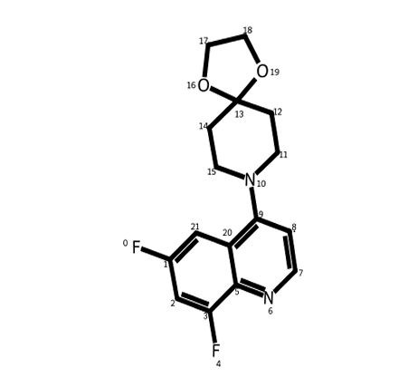 Fc1cc(F)c2nc[c]c(N3CCC4(CC3)OCCO4)c2c1